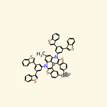 Cc1cc2c3c(c1)N(c1cc(-c4csc5ccccc45)cc(-c4csc5ccccc45)c1)c1sc4ccc(C(C)(C)C)cc4c1B3c1c(sc3ccc(C(C)(C)C)cc13)N2c1cc(-c2csc3ccccc23)cc(-c2csc3ccccc23)c1